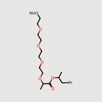 COCCOCCOCCOCCOC(C)C(=O)OC(C)CC(C)C